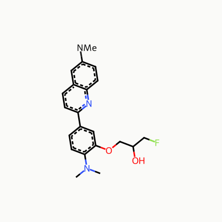 CNc1ccc2nc(-c3ccc(N(C)C)c(OCC(O)CF)c3)ccc2c1